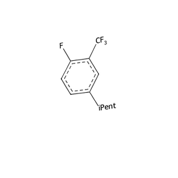 CCCC(C)c1ccc(F)c(C(F)(F)F)c1